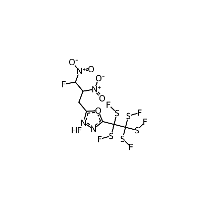 F.O=[N+]([O-])C(F)C(Cc1nnc(C(SF)(SF)C(SF)(SF)SF)o1)[N+](=O)[O-]